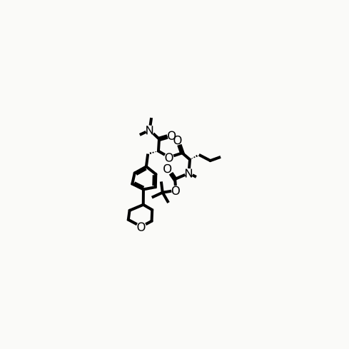 CCC[C@@H](C(=O)O[C@H](Cc1ccc(C2CCOCC2)cc1)C(=O)N(C)C)N(C)C(=O)OC(C)(C)C